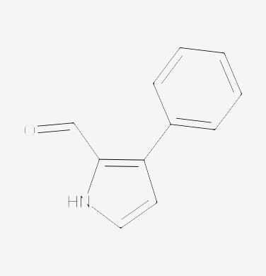 O=Cc1[nH]ccc1-c1ccccc1